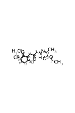 CCOC(=O)/C(C)=N\NCC(=O)Cc1c(Cl)ccc(Cl)c1OC